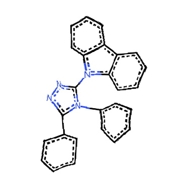 c1ccc(-c2nnc(-n3c4ccccc4c4ccccc43)n2-c2ccccc2)cc1